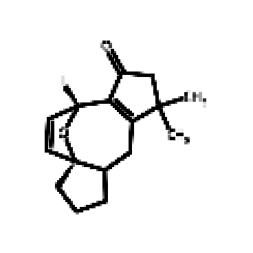 CC1(C)CC(=O)C2=C1CC1CCC[C@]13C=C[C@H]2O3